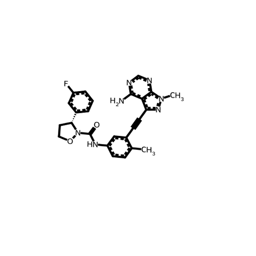 Cc1ccc(NC(=O)N2OCC[C@@H]2c2cccc(F)c2)cc1C#Cc1nn(C)c2ncnc(N)c12